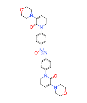 O=C1C(N2CCOCC2)=CCCN1c1ccc(/N=[N+](\[O-])c2ccc(N3CCC=C(N4CCOCC4)C3=O)cc2)cc1